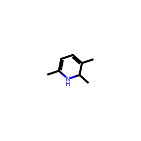 CC1=CC=C(C)C(C)N1